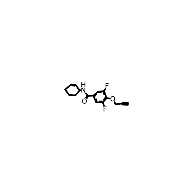 C#CCOc1c(F)cc(C(=O)NC2C=CCCC2)cc1F